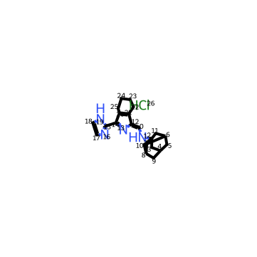 C(NC12CC3CC(CC(C3)C1)C2)=C1N=C(c2ncc[nH]2)C2=C1CCCC2.Cl